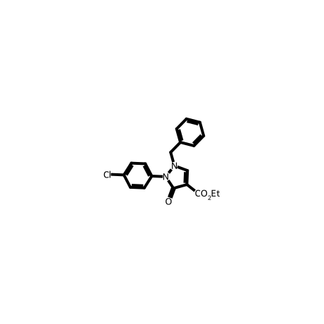 CCOC(=O)c1cn(Cc2ccccc2)n(-c2ccc(Cl)cc2)c1=O